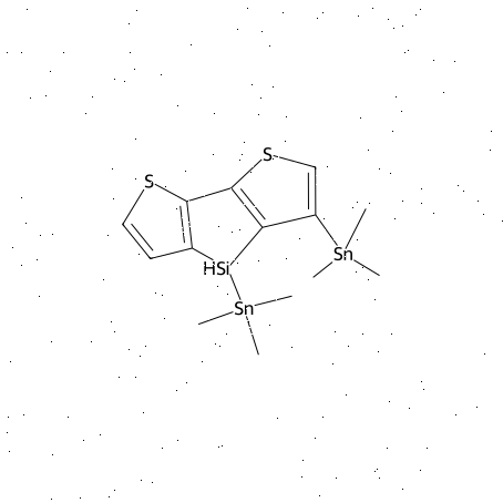 [CH3][Sn]([CH3])([CH3])[c]1csc2c1[SiH]([Sn]([CH3])([CH3])[CH3])c1ccsc1-2